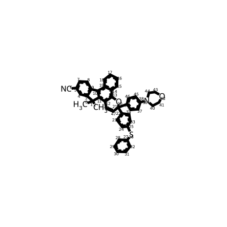 CC1(C)c2cc(C#N)ccc2-c2c1c1c(c3ccccc23)OC(c2ccc(Sc3ccccc3)cc2)(c2ccc(N3CCOCC3)cc2)C=C1